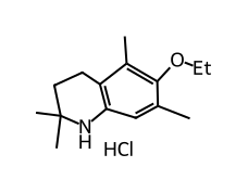 CCOc1c(C)cc2c(c1C)CCC(C)(C)N2.Cl